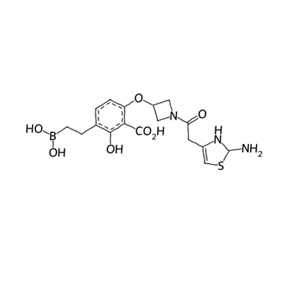 NC1NC(CC(=O)N2CC(Oc3ccc(CCB(O)O)c(O)c3C(=O)O)C2)=CS1